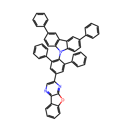 c1ccc(-c2ccc3c(c2)c2cc(-c4ccccc4)ccc2n3-c2c(-c3ccccc3)cc(-c3cnc4c(n3)oc3ccccc34)cc2-c2ccccc2)cc1